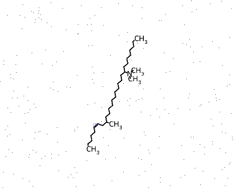 CCCCC/C=C\CC(C)CCCCCCCCCCCC(CCCCCCCC)N(C)C